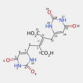 O=C(O)/C(Cc1cc(=O)[nH]c(=O)[nH]1)=C(\Cc1cc(=O)[nH]c(=O)[nH]1)C(=O)O